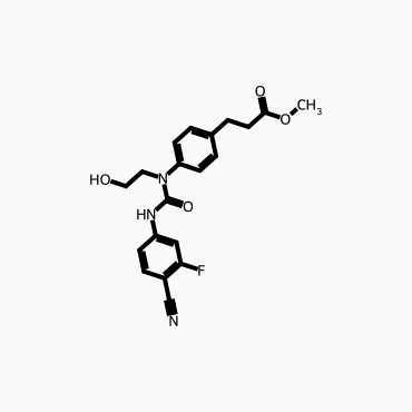 COC(=O)CCc1ccc(N(CCO)C(=O)Nc2ccc(C#N)c(F)c2)cc1